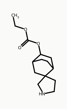 CCOC(=O)OC1CC2CCC1CC21CCNC1